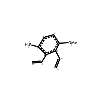 C=Cc1c(P)ccc(OC)c1C=C